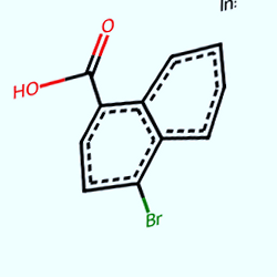 O=C(O)c1ccc(Br)c2ccccc12.[In]